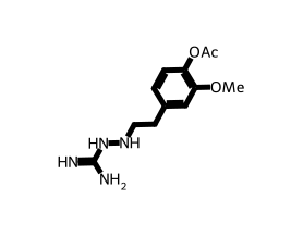 COc1cc(CCNNC(=N)N)ccc1OC(C)=O